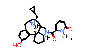 Cn1c(C(=O)N2C[C@H]3CCC4Cc5ccc(O)cc5C5(CCC[C@H]2C35)CCN4CC2CC2)cccc1=O